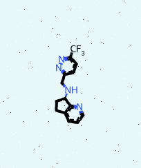 FC(F)(F)c1ccc(CN[C@@H]2CCc3cccnc32)nn1